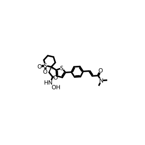 CN(C)C(=O)C=Cc1ccc(-c2ccc([C@@]3(CC(=O)NO)CCCCS3(=O)=O)s2)cc1